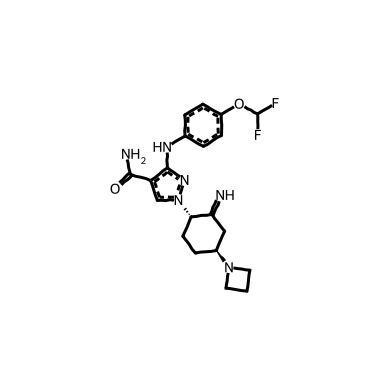 N=C1C[C@@H](N2CCC2)CC[C@@H]1n1cc(C(N)=O)c(Nc2ccc(OC(F)F)cc2)n1